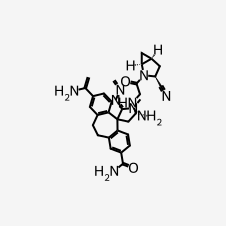 C=N/N=C(\N(C)N)C1(C[C@@H](C)NCC(=O)N2[C@H](C#N)C[C@@H]3C[C@@H]32)c2ccc(C(=C)N)cc2CCc2cc(C(N)=O)ccc21